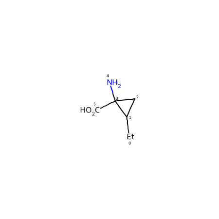 CCC1CC1(N)C(=O)O